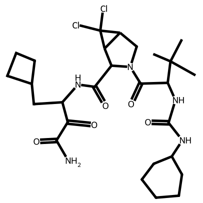 CC(C)(C)C(NC(=O)NC1CCCCC1)C(=O)N1CC2C(C1C(=O)NC(CC1CCC1)C(=O)C(N)=O)C2(Cl)Cl